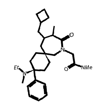 CCN(C)[C@]1(c2ccccc2)CC[C@@]2(CC1)CC(CC1CCC1)C(C)C(=O)N(CC(=O)NC)C2